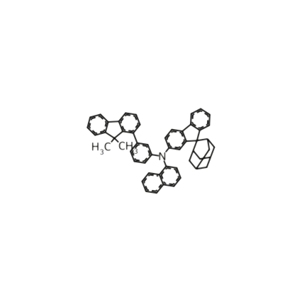 CC1(C)c2ccccc2-c2cccc(-c3cccc(N(c4ccc5c(c4)C4(c6ccccc6-5)C5CC6CC(C5)CC4C6)c4cccc5ccccc45)c3)c21